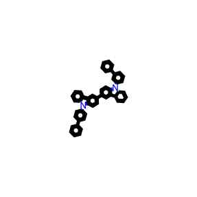 C1=CC2c3cc(-c4ccc5c(c4)c4ccccc4n5-c4ccc(-c5ccccc5)cc4)ccc3N(c3cccc(-c4ccccc4)c3)C2C=C1